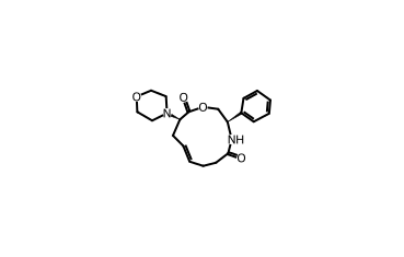 O=C1CC/C=C/C[C@@H](N2CCOCC2)C(=O)OC[C@@H](c2ccccc2)N1